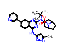 Cc1cc(Nc2nc(NC3CC4CCC(C3)N4C(=O)OC(C)(C)C)nc3cc(-c4cccnc4)ccc23)n[nH]1